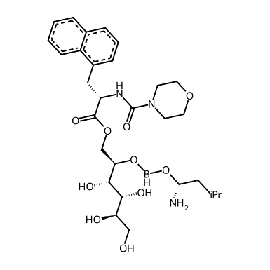 CC(C)C[C@H](N)OBO[C@H](COC(=O)[C@H](Cc1cccc2ccccc12)NC(=O)N1CCOCC1)[C@@H](O)[C@H](O)[C@H](O)CO